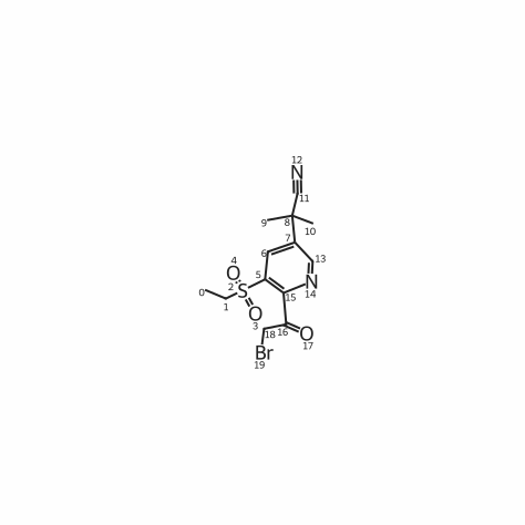 CCS(=O)(=O)c1cc(C(C)(C)C#N)cnc1C(=O)CBr